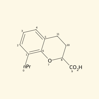 CCCc1cccc2c1OC(C(=O)O)CC2